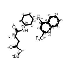 C[C@@H](CC(=O)OC(C)(C)C)C(=O)N[C@@H]1CCC[C@H](Nc2cc(C(F)(F)F)nc3ccccc23)C1